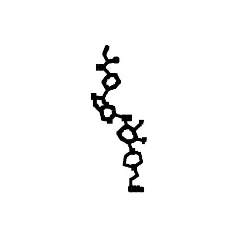 C=CC(=O)Nc1cccc(-c2ncc3cnc(Nc4ccc(N5CCN(CCOC)CC5)c(F)c4F)cn23)c1